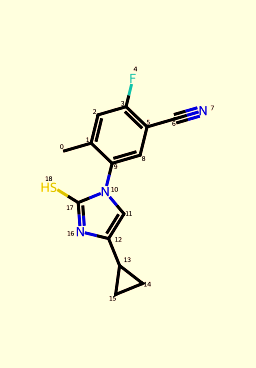 Cc1cc(F)c(C#N)cc1-n1cc(C2CC2)nc1S